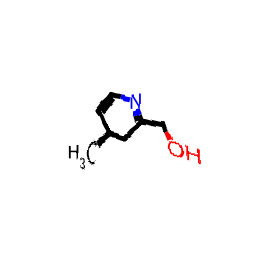 CC1C=CN=C(CO)C1